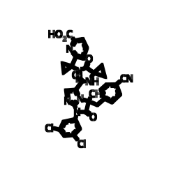 CC1(Cc2ccc(C#N)cc2)C(=O)N(c2cc(Cl)cc(Cl)c2)c2ncc(C(=O)NC3(C(=O)NC4(c5cccc(C(=O)O)n5)CC4)CC3)n21